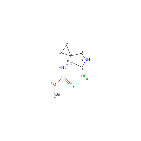 CC(C)(C)OC(=O)N[C@H]1CNCC12CC2.Cl